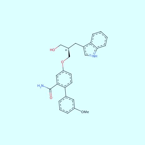 COc1cccc(-c2ccc(OC[C@@H](CO)Cc3c[nH]c4ccccc34)cc2C(N)=O)c1